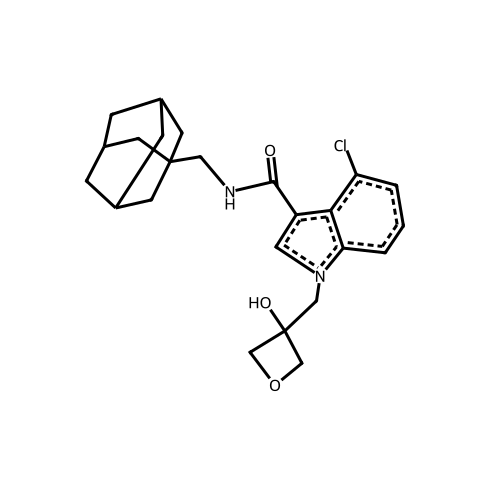 O=C(NCC12CC3CC(CC(C3)C1)C2)c1cn(CC2(O)COC2)c2cccc(Cl)c12